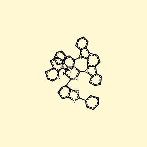 c1ccc(-c2nc(-c3cccc4nc(-c5ccccc5)oc34)nc(-n3c4ccccc4c4ccc5c6ccccc6n(-c6cnc7c(ccc8cccnc87)c6)c5c43)n2)cc1